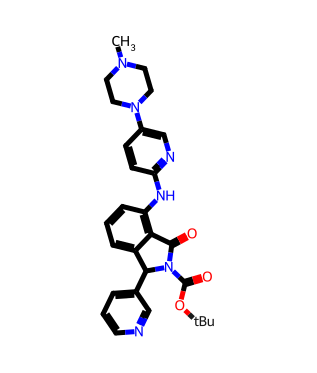 CN1CCN(c2ccc(Nc3cccc4c3C(=O)N(C(=O)OC(C)(C)C)C4c3cccnc3)nc2)CC1